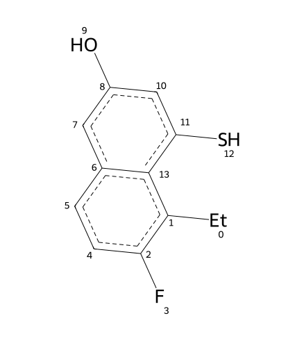 CCc1c(F)ccc2cc(O)cc(S)c12